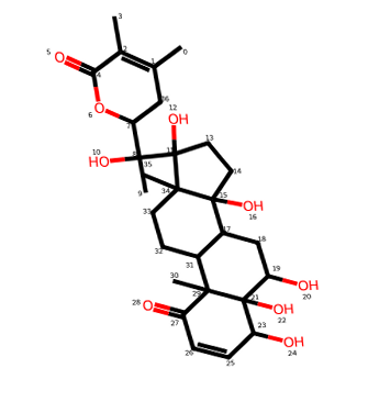 CC1=C(C)C(=O)OC(C(C)(O)C2(O)CCC3(O)C4CC(O)C5(O)C(O)C=CC(=O)C5(C)C4CCC32C)C1